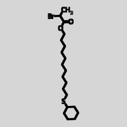 CC(Br)C(=O)OCCCCCCCCCCCSC1CCCCC1